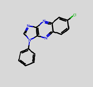 Clc1ccc2nc3c(ncn3-c3ccccc3)nc2c1